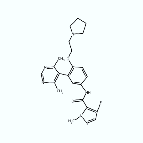 Cc1ncnc(C)c1-c1cc(NC(=O)c2c(F)cnn2C)ccc1OCCN1CCCC1